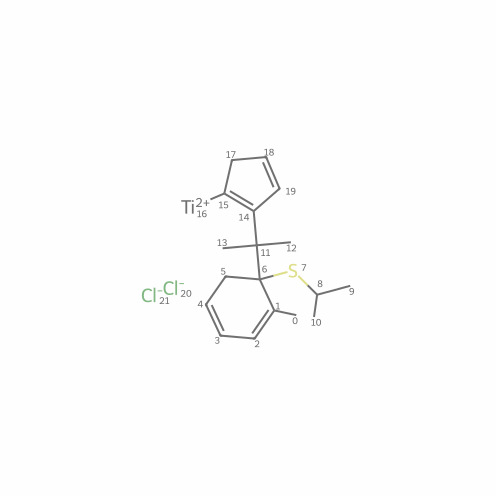 CC1=CC=CCC1(SC(C)C)C(C)(C)C1=[C]([Ti+2])CC=C1.[Cl-].[Cl-]